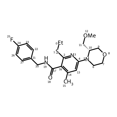 CCSc1nc(N2CCOC[C@H]2COC)cc(C)c1C(=O)NCc1ccc(F)cc1